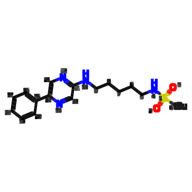 CC(C)(C)S(=O)(=O)NCCCCCNc1cnc(-c2ccccc2)cn1